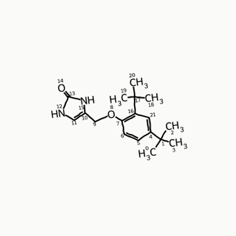 CC(C)(C)c1ccc(OCc2c[nH]c(=O)[nH]2)c(C(C)(C)C)c1